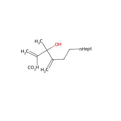 C=C(CCCCCCCCC)C(C)(O)C(=C)C(=O)O